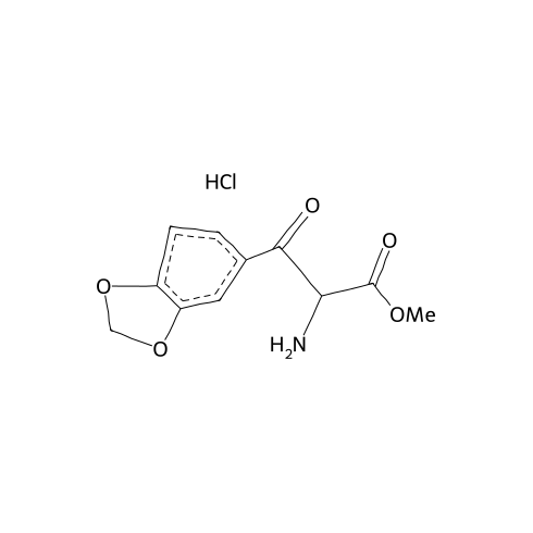 COC(=O)C(N)C(=O)c1ccc2c(c1)OCO2.Cl